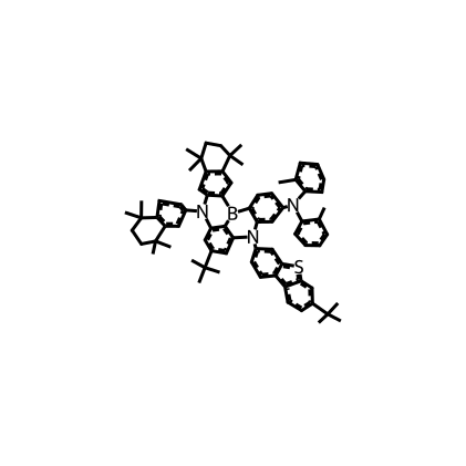 Cc1ccccc1N(c1ccc2c(c1)N(c1ccc3c(c1)sc1cc(C(C)(C)C)ccc13)c1cc(C(C)(C)C)cc3c1B2c1cc2c(cc1N3c1ccc3c(c1)C(C)(C)CCC3(C)C)C(C)(C)CCC2(C)C)c1ccccc1C